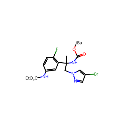 CCOC(=O)Nc1ccc(F)c(C(C)(Cn2cc(Br)cn2)NC(=O)OC(C)(C)C)c1